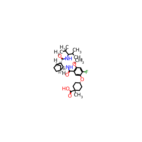 COc1cc(F)c(O[C@H]2CC[C@@](C)(C(=O)O)CC2)cc1C(=O)N[C@@H]1[C@H]2CC[C@H](C2)[C@@H]1C(=O)NC(C(C)C)C(C)C